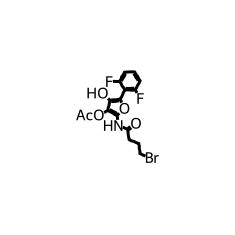 CC(=O)Oc1c(NC(=O)CCCBr)oc(-c2c(F)cccc2F)c1O